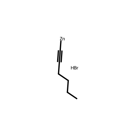 Br.CCCCC#[C][Zn]